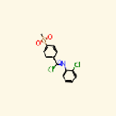 CS(=O)(=O)c1ccc(/C(Cl)=N/c2ccccc2Cl)cc1